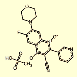 CS(=O)(=O)O.N#Cc1c(-c2cccnc2)[n+]([O-])c2cc(N3CCOCC3)c(F)cc2[n+]1[O-]